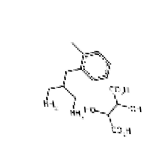 Cc1ccccc1CC(CN)CN.O=C(O)C(O)C(O)C(=O)O